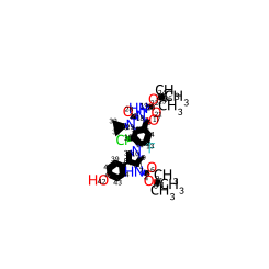 CC(C)(C)OC(=O)N[C@H]1CN(c2c(F)cc3c(=O)n(NC(=O)OC(C)(C)C)c(=O)n(C4CC4)c3c2Cl)C[C@@H]1c1ccc(O)cc1